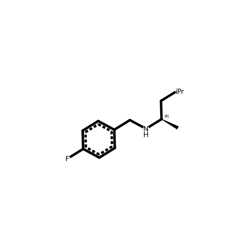 CC(C)C[C@@H](C)NCc1ccc(F)cc1